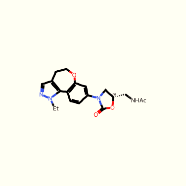 CCn1ncc2c1-c1ccc(N3C[C@H](CNC(C)=O)OC3=O)cc1OCC2